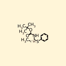 C[CH][C@H](NC(=O)OC(C)(C)C)Sc1ccccc1